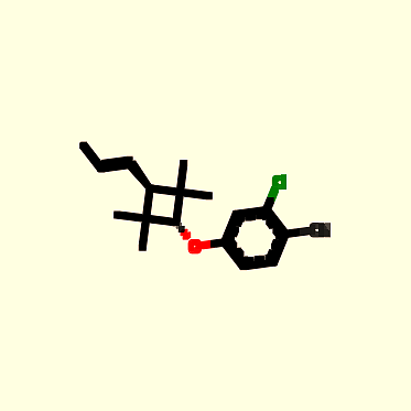 C/C=C/[C@H]1C(C)(C)[C@H](Oc2ccc(C#N)c(Cl)c2)C1(C)C